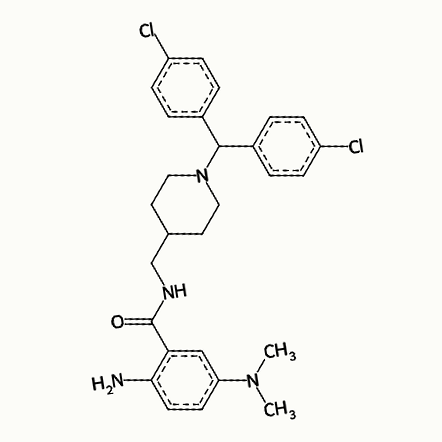 CN(C)c1ccc(N)c(C(=O)NCC2CCN(C(c3ccc(Cl)cc3)c3ccc(Cl)cc3)CC2)c1